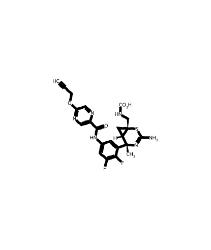 C#CCOc1cnc(C(=O)Nc2cc(F)c(F)c([C@@]3(C)N=C(N)S[C@@]4(CNC(=O)O)C[C@H]43)c2)cn1